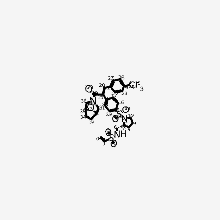 C=CS(=O)(=O)NC[C@H]1CCCN1S(=O)(=O)c1ccc(C(Cc2ccc(C(F)(F)F)cc2)C(=O)N2CC3CCC(C2)O3)cc1